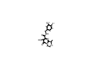 CC1OCCn2c1nc(C(=O)NCc1ccc(F)c(Cl)c1)c(O)c2=O